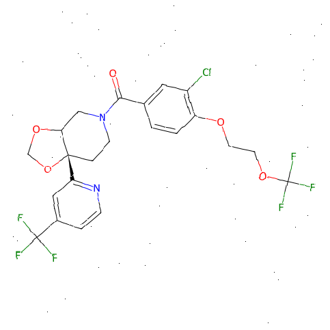 O=C(c1ccc(OCCOC(F)(F)F)c(Cl)c1)N1CC[C@]2(c3cc(C(F)(F)F)ccn3)OCOC2C1